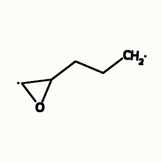 [CH2]CCC1[CH]O1